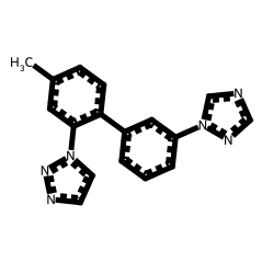 Cc1ccc(-c2cccc(-n3cncn3)c2)c(-n2ccnn2)c1